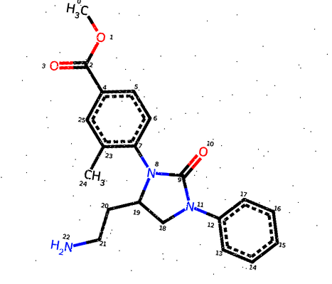 COC(=O)c1ccc(N2C(=O)N(c3ccccc3)CC2CCN)c(C)c1